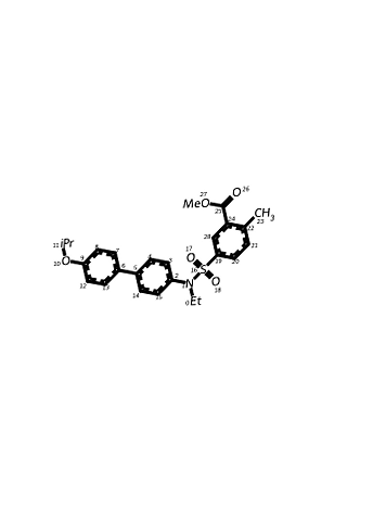 CCN(c1ccc(-c2ccc(OC(C)C)cc2)cc1)S(=O)(=O)c1ccc(C)c(C(=O)OC)c1